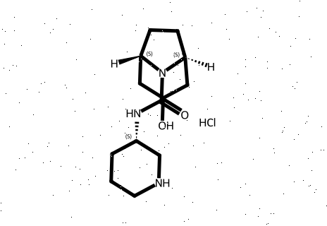 Cl.O=C(N[C@H]1CCCNC1)N1[C@H]2CC[C@H]1CC(O)C2